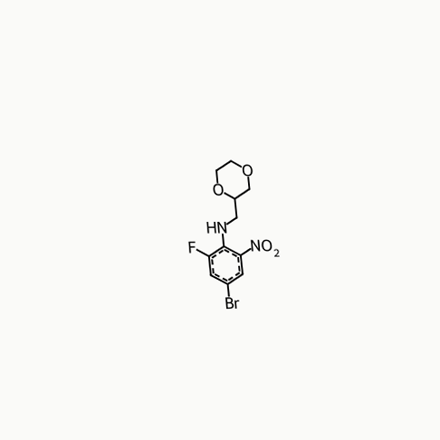 O=[N+]([O-])c1cc(Br)cc(F)c1NCC1COCCO1